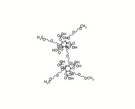 COCCOCCOC[C@@H]1[C@@H](OP(=O)(O)O)[C@@H](OCCOCCO[C@H]2[C@@H](CP(=O)(O)O)[C@H](OCCOCCOC)[C@@H](OP(=O)(O)O)[C@H](OCCOCCOC)[C@H]2OP(=O)(O)O)[C@@H](OP(=O)(O)O)[C@H](OCCOCCOC)[C@H]1OP(=O)(O)O